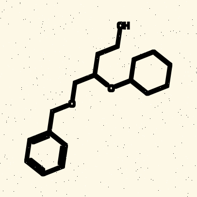 OCCC(COCc1ccccc1)OC1CCCCC1